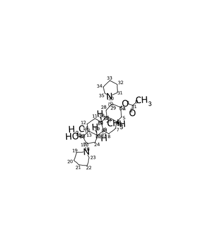 CC(=O)O[C@H]1C[C@@H]2CC[C@@H]3[C@H](CC[C@]4(C)[C@H](O)[C@@H](N5CCCCC5)C[C@@H]34)[C@@]2(C)C[C@@H]1N1CCCCC1